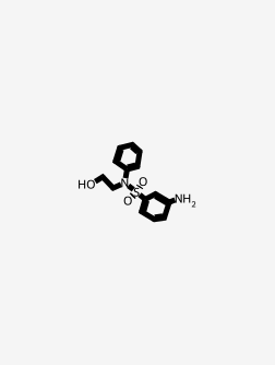 Nc1cccc(S(=O)(=O)N(CCO)c2ccccc2)c1